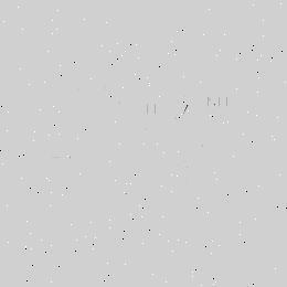 Cc1cccc(C)c1-c1cccc2c1O[C@@H](CN)CO2